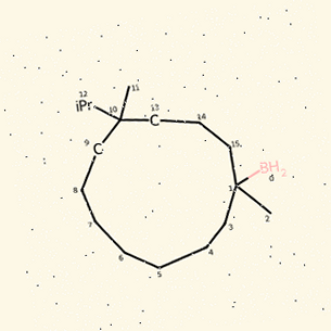 BC1(C)CCCCCCCC(C)(C(C)C)CCC1